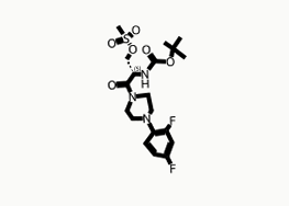 CC(C)(C)OC(=O)N[C@@H](COS(C)(=O)=O)C(=O)N1CCN(c2ccc(F)cc2F)CC1